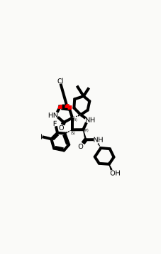 CC1(C)CCC2(CC1)N[C@@H](C(=O)N[C@H]1CC[C@H](O)CC1)[C@H](c1cccc(I)c1F)[C@]21C(=O)Nc2nc(Cl)ccc21